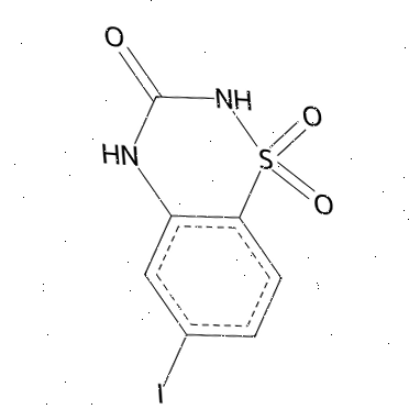 O=C1Nc2cc(I)ccc2S(=O)(=O)N1